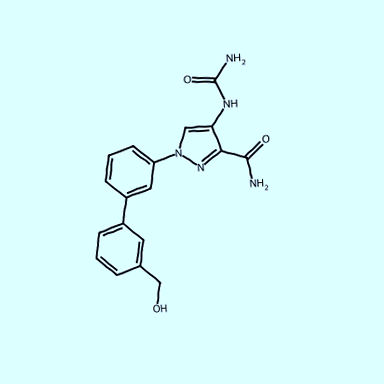 NC(=O)Nc1cn(-c2cccc(-c3cccc(CO)c3)c2)nc1C(N)=O